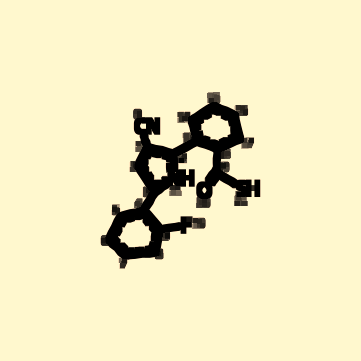 N#Cc1cc(-c2ccccc2F)[nH]c1-c1ccccc1C(=O)S